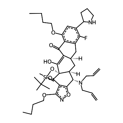 C=CCN(CC=C)[C@@H]1c2onc(OCCCC)c2C(=O)[C@@]2(O[Si](C)(C)C(C)(C)C)C(O)=C3C(=O)c4c(OCCCC)cc(C5CCCN5)c(F)c4C[C@H]3C[C@@H]12